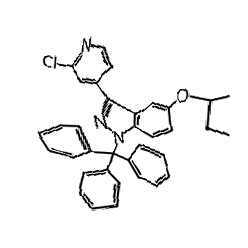 CCC(C)Oc1ccc2c(c1)c(-c1ccnc(Cl)c1)nn2C(c1ccccc1)(c1ccccc1)c1ccccc1